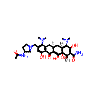 B=C1C(C(N)=O)=C(O)[C@@H](N(C)C)[C@@H]2C[C@@H]3Cc4c(c(O)cc(CN5CC[C@H](NC(C)=O)C5)c4N(C)C)C(=O)C3=C(O)[C@]12O